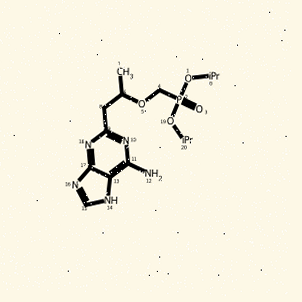 CC(C)OP(=O)(COC(C)Cc1nc(N)c2[nH]cnc2n1)OC(C)C